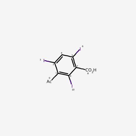 CC(=O)c1c(I)cc(I)c(C(=O)O)c1I